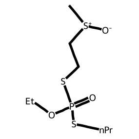 CCCSP(=O)(OCC)SCC[S+](C)[O-]